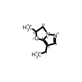 CCc1cnn2c1OC(C)C2